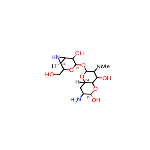 CNC1C(O[C@H]2OC(CO)[C@H]3NC3C2O)O[C@H]2CC(N)[C@@H](O)OC2C1O